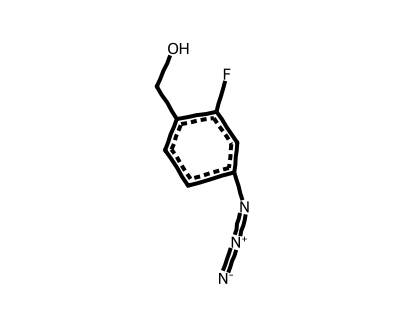 [N-]=[N+]=Nc1ccc(CO)c(F)c1